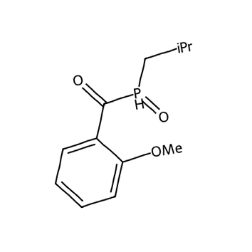 COc1ccccc1C(=O)[PH](=O)CC(C)C